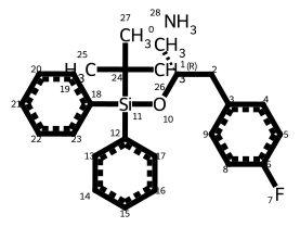 C[C@H](Cc1ccc(F)cc1)O[Si](c1ccccc1)(c1ccccc1)C(C)(C)C.N